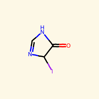 O=C1NC=NC1I